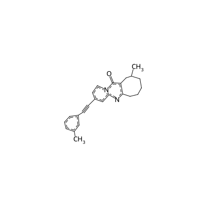 Cc1cccc(C#Cc2ccn3c(=O)c4c(nc3c2)CCCCC(C)C4)c1